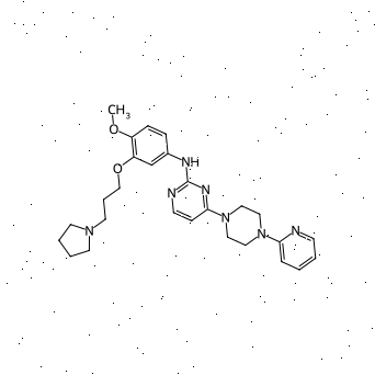 COc1ccc(Nc2nccc(N3CCN(c4ccccn4)CC3)n2)cc1OCCCN1CCCC1